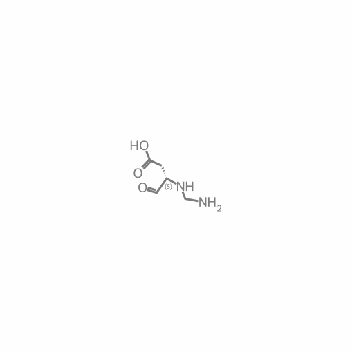 NCN[C@H](C=O)CC(=O)O